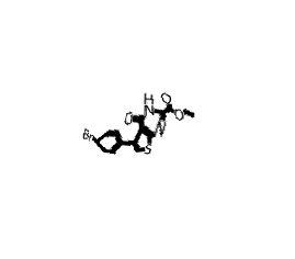 CCOC(=O)c1nc2scc(-c3ccc(Br)cc3)c2c(=O)[nH]1